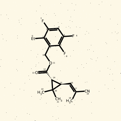 CCc1c(F)cc(F)c(F)c1COC(=O)[C@@H]1[C@@H](C=C(C)C#N)C1(C)C